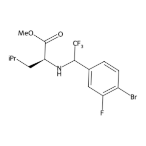 COC(=O)[C@H](CC(C)C)NC(c1ccc(Br)c(F)c1)C(F)(F)F